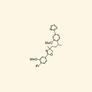 COc1cc(C2=NC(C)(CCC(C)c3ccc(-c4nccs4)cc3OC)CO2)ccc1C(C)C